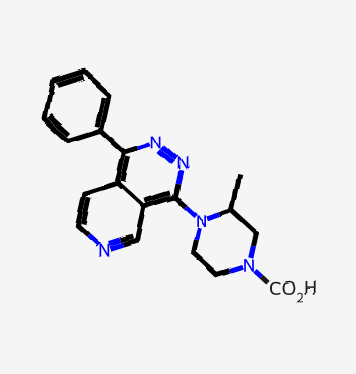 CC1CN(C(=O)O)CCN1c1nnc(-c2ccccc2)c2ccncc12